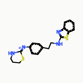 c1ccc2sc(NCCc3ccc(/N=C4/NCCCS4)cc3)nc2c1